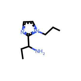 CCCn1ccnc1C(N)CC